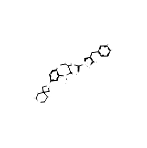 CN1C(=O)C(NC(=O)n2cc(Cc3ccccc3)cn2)COc2ccc(N3CC4(CCOCC4)C3)cc21